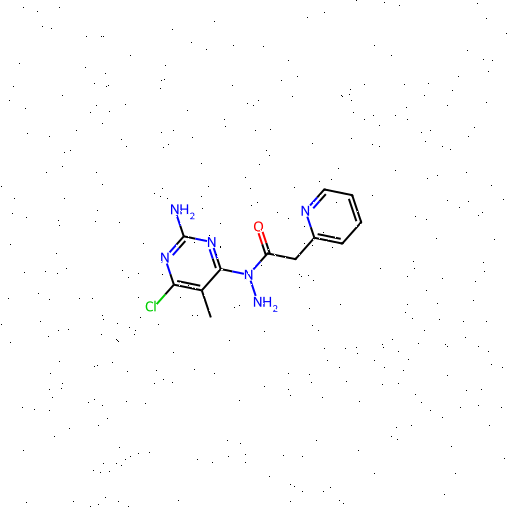 Cc1c(Cl)nc(N)nc1N(N)C(=O)Cc1ccccn1